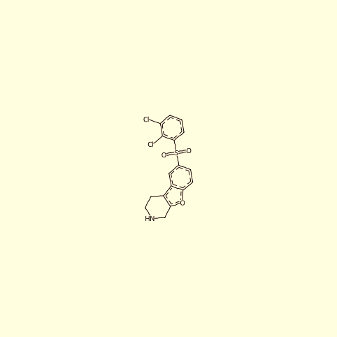 O=S(=O)(c1ccc2oc3c(c2c1)CCNC3)c1cccc(Cl)c1Cl